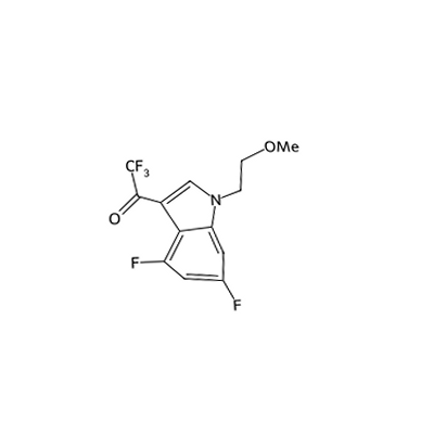 COCCn1cc(C(=O)C(F)(F)F)c2c(F)cc(F)cc21